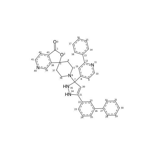 O=C1OC2(CCN(C3(c4ccnc(-c5ccccc5)c4)C=C(c4cccc(-c5ccccc5)c4)NN3)CC2)c2cnccc21